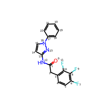 O=C(Cc1ccc(F)c(F)c1F)Nc1ccn(-c2ccccc2)n1